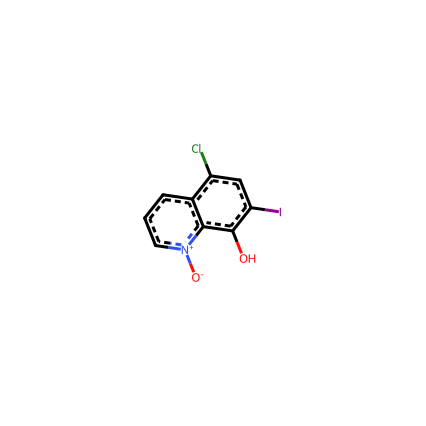 [O-][n+]1cccc2c(Cl)cc(I)c(O)c21